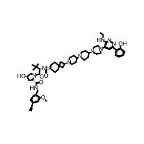 C#Cc1ccc(CNC(=O)[C@@H]2C[C@@H](O)CN2C(=O)[C@@H](NC(=O)[C@H]2CCC3(CC2)C[C@H](N2CCC(N4CCC(N5CCN(c6cc(-c7ccccc7O)nnc6NCC)CC5)CC4)CC2)C3)C(C)(C)C)c(OC)c1